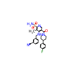 Cc1c(S(N)(=O)=O)ncc(C(=O)N2CCC(c3ccc(F)cc3)CC2)c1NCc1cccc(C#N)c1